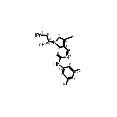 C=C(/N=C\C1=C(C)CN([C@H](CCC)CC(C)C)C1)Nc1cc(C)cc(C)c1